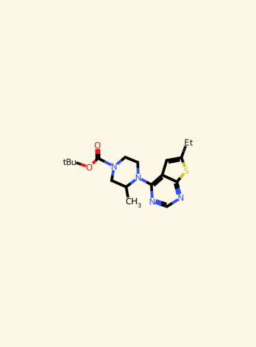 CCc1cc2c(N3CCN(C(=O)OC(C)(C)C)CC3C)ncnc2s1